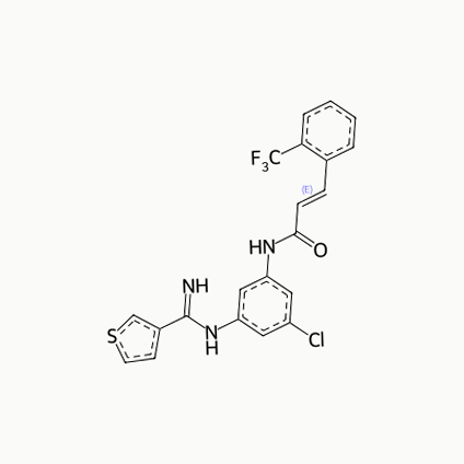 N=C(Nc1cc(Cl)cc(NC(=O)/C=C/c2ccccc2C(F)(F)F)c1)c1ccsc1